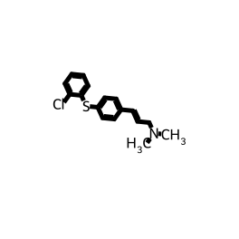 CN(C)CC=Cc1ccc(Sc2ccccc2Cl)cc1